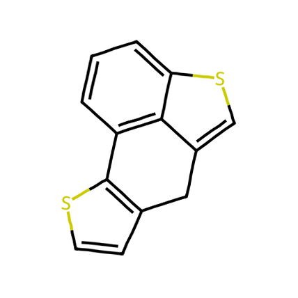 c1cc2c3c(csc3c1)Cc1ccsc1-2